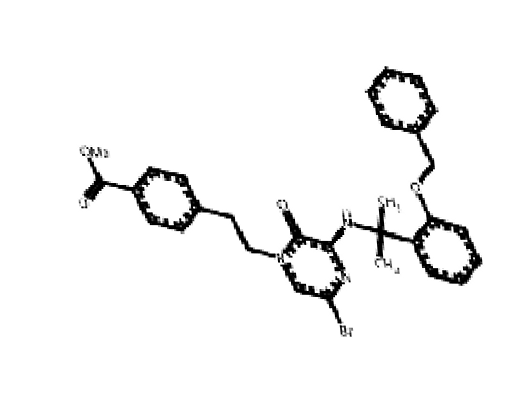 COC(=O)c1ccc(CCn2cc(Br)nc(NC(C)(C)c3ccccc3OCc3ccccc3)c2=O)cc1